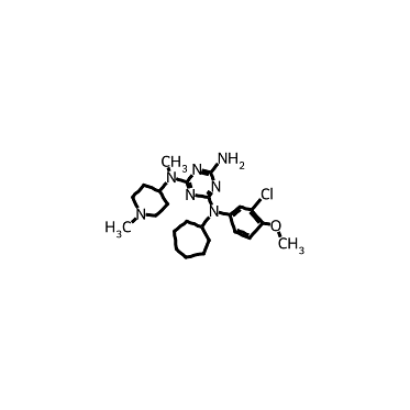 COc1ccc(N(c2nc(N)nc(N(C)C3CCN(C)CC3)n2)C2CCCCCC2)cc1Cl